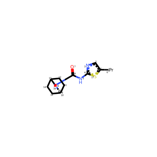 CC(C)c1cnc(NC(=O)N2CC3CCC(CC3)C2)s1